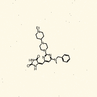 CCN1CCC(N2CCN(c3nc(C=C4NC(=O)NC4=O)cc(N(C)Cc4ccccc4)n3)CC2)CC1